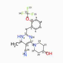 C=C1NC(Cc2ccccc2OC(F)(F)F)=NC(N2CCC(O)CC2)=C1C#N